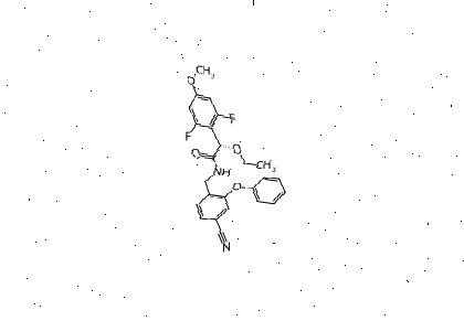 CCO[C@H](C(=O)NCc1ccc(C#N)cc1Oc1ccccc1)c1c(F)cc(OC)cc1F